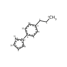 CCCc1ccc(-n2cccn2)cc1